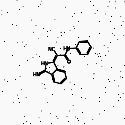 N#C/C(C(=O)Nc1ccccc1)=C1\NC(=N)c2ccccc21